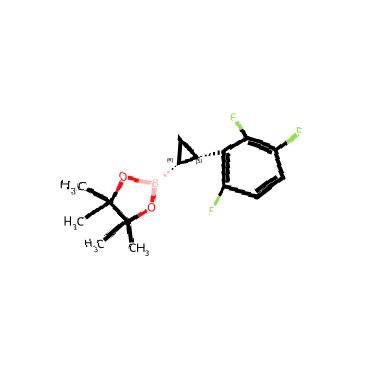 CC1(C)OB([C@@H]2C[C@@H]2c2c(F)ccc(F)c2F)OC1(C)C